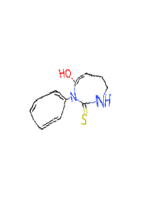 OC1=CCNC(=S)N1c1ccccc1